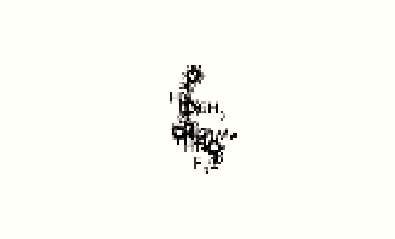 COc1ccc(OC(F)(F)F)cc1NC(=O)Nc1ccc(Oc2cc(C)cc(NCCN3CCOCC3)n2)c2ccccc12